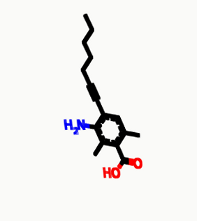 CCCCCC#Cc1cc(C)c(C(=O)O)c(C)c1N